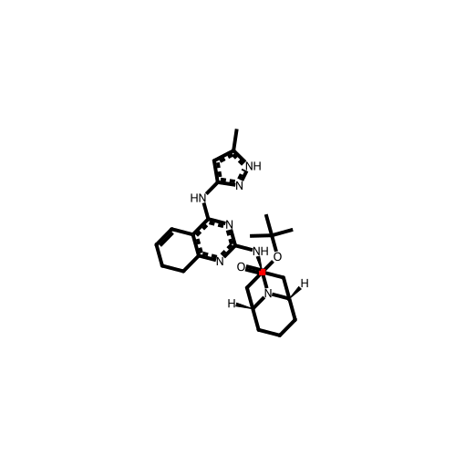 Cc1cc(Nc2nc(N[C@@H]3C[C@H]4CCC[C@@H](C3)N4C(=O)OC(C)(C)C)nc3c2C=CCC3)n[nH]1